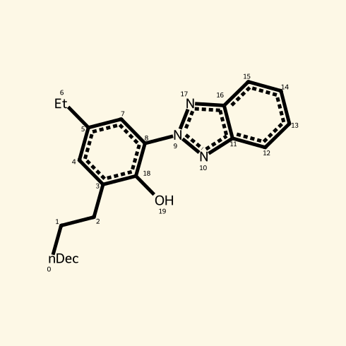 CCCCCCCCCCCCc1cc(CC)cc(-n2nc3ccccc3n2)c1O